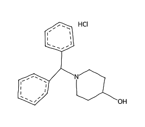 Cl.OC1CCN(C(c2ccccc2)c2ccccc2)CC1